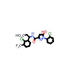 O=C(O)CC(NC(=O)c1cc(O)n(-c2ccccc2Cl)n1)c1cccc(C(F)(F)F)c1Cl